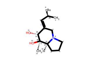 CCCC[C@@H](C)/C=C1\CN2CCC[C@H]2[C@@](C)(O)[C@@H]1O